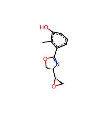 Cc1c(O)cccc1C1=N[C@H]([C@H]2CO2)CO1